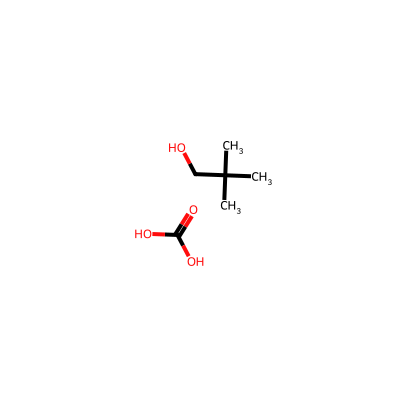 CC(C)(C)CO.O=C(O)O